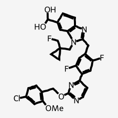 COc1cc(Cl)ccc1COc1nccc(-c2cc(F)c(Cc3nc4ccc(C(O)O)cc4n3CC3(CF)CC3)cc2F)n1